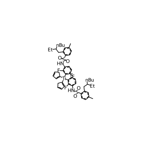 CCCCC(CC)Cc1cc(C)ccc1S(=O)(=O)Nc1ccc(F)[c]([Ti]([C]2=CC=CC2)([C]2=CC=CC2)[c]2c(F)ccc(NS(=O)(=O)c3ccc(C)cc3CC(CC)CCCC)c2F)c1F